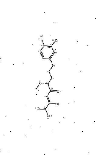 CON(CCCc1ccc(Cl)c(Cl)c1)C(=O)C=C(O)C(=O)O